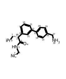 CC(C)C[C@@H](C(=O)NCC#N)c1cccc(-c2ccc(CN)cc2)c1